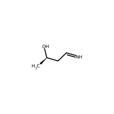 C[C@@H](O)CC=N